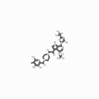 [2H]c1nc(C(=O)N2CCN(C(=O)C(=O)c3c[nH]c4c(-n5nc(C([2H])([2H])[2H])nc5[2H])ncc(OC([2H])([2H])[2H])c34)CC2)c([2H])c([2H])c1C